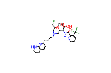 COC(CF)CN(CCCCc1ccc2c(n1)NCCC2)CCC(NC(=O)c1ncccc1C(F)(F)F)C(=O)O